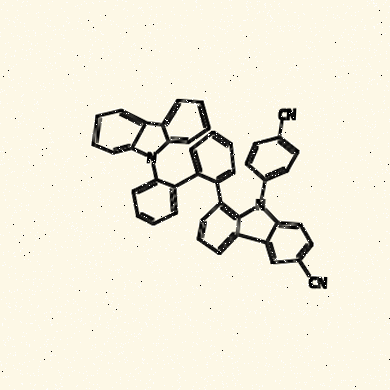 N#Cc1ccc(-n2c3ccc(C#N)cc3c3cccc(-c4ccccc4-c4ccccc4-n4c5ccccc5c5ccccc54)c32)cc1